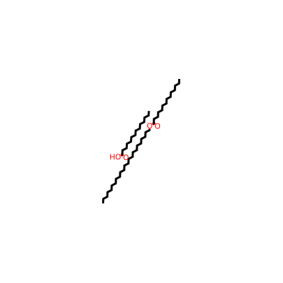 CCCCCCCCCCCCCC(=O)O.CCCCCCCCCCCCCCCCCCCCCCCOC(=O)CCCCCCCCCCCCC